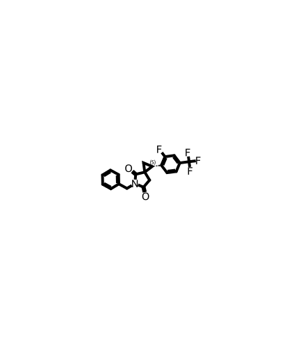 O=C1CC2(C[C@@H]2c2ccc(C(F)(F)F)cc2F)C(=O)N1Cc1ccccc1